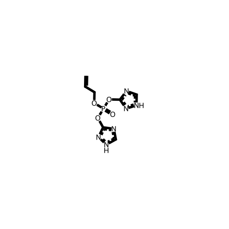 C=CCOP(=O)(Oc1nc[nH]n1)Oc1nc[nH]n1